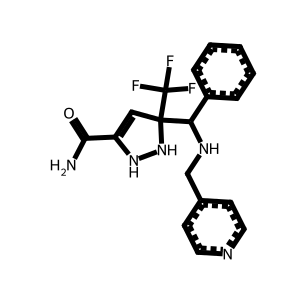 NC(=O)C1=CC(C(NCc2ccncc2)c2ccccc2)(C(F)(F)F)NN1